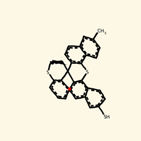 Cc1ccc2c3c(ccc2c1)C1(c2ccccc2Sc2ccccc21)c1ccc2cc(S)ccc2c1S3